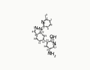 Cc1cccc(-n2ncc3ccc(-c4cc(N)cnc4O)cc32)n1